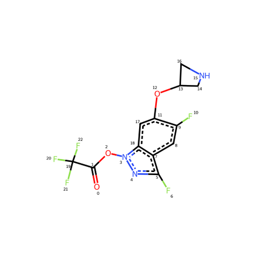 O=C(On1nc(F)c2cc(F)c(OC3CNC3)cc21)C(F)(F)F